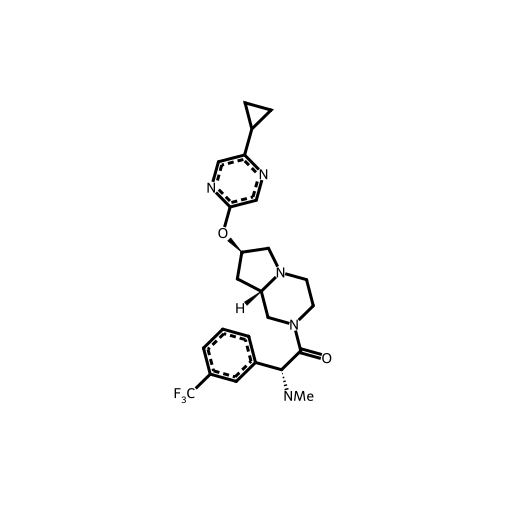 CN[C@@H](C(=O)N1CCN2C[C@H](Oc3cnc(C4CC4)cn3)C[C@H]2C1)c1cccc(C(F)(F)F)c1